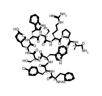 CC(=O)N[C@H](Cc1ccccc1)C(=O)N[C@@H](Cc1ccc(Cl)cc1)C(=O)N[C@H](Cc1c[nH]c2ccccc12)C(=O)N[C@@H](CO)C(=O)N[C@@H](Cc1ccc(O)cc1)C(=O)N[C@H](Cc1c[nH]c2ccccc12)C(=O)N[C@@H](CC(C)C)C(=O)N[C@@H](CCCNC(=N)N)C(=O)N1CCC[C@H]1C(=O)N[C@H](C)C(N)=O